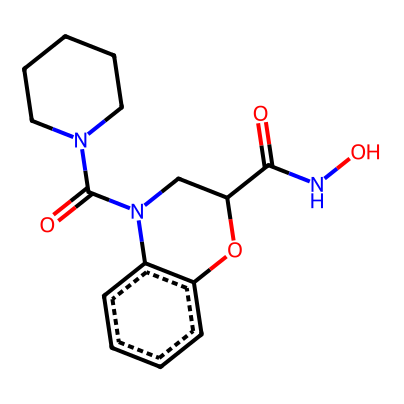 O=C(NO)C1CN(C(=O)N2CCCCC2)c2ccccc2O1